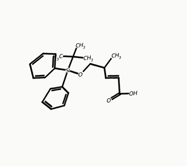 CC(C=CC(=O)O)CO[Si](c1ccccc1)(c1ccccc1)C(C)(C)C